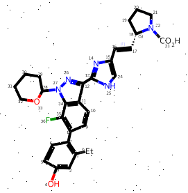 CCc1cc(O)ccc1-c1ccc2c(-c3nc(/C=C/[C@@H]4CCCN4C(=O)O)c[nH]3)nn(C3CCCCO3)c2c1F